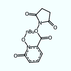 CCCCOn1c(C(=O)ON2C(=O)CCC2=O)cccc1=O